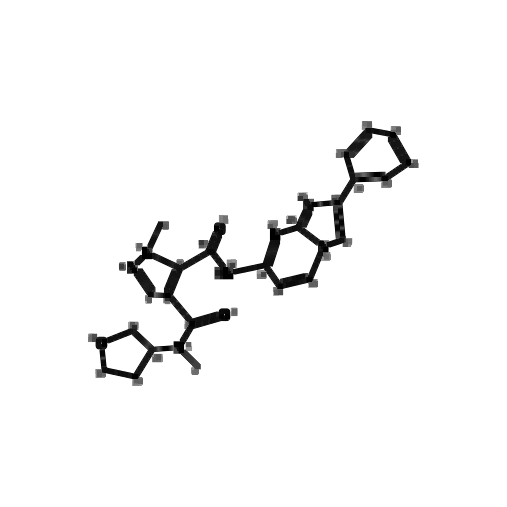 CN(C(=O)c1cnn(C)c1C(=O)Nc1ccn2cc(-c3ccccc3)nc2n1)C1CCOC1